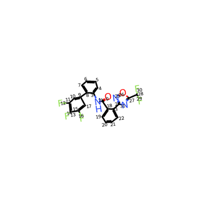 O=C(Nc1ccccc1-c1cc(F)c(F)c(F)c1)c1ccccc1-c1noc(C(F)F)n1